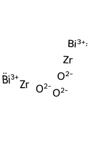 [Bi+3].[Bi+3].[O-2].[O-2].[O-2].[Zr].[Zr]